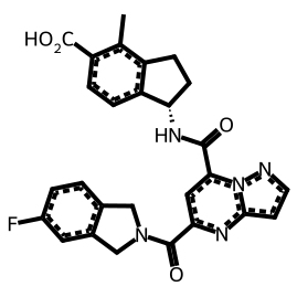 Cc1c(C(=O)O)ccc2c1CC[C@@H]2NC(=O)c1cc(C(=O)N2Cc3ccc(F)cc3C2)nc2ccnn12